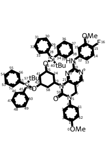 COc1ccc(N2Cc3cnc(Nc4ccc(F)c(OC)c4)nc3N(C3CC(O[Si](c4ccccc4)(c4ccccc4)C(C)(C)C)CC(O[Si](c4ccccc4)(c4ccccc4)C(C)(C)C)C3)C2=O)cc1